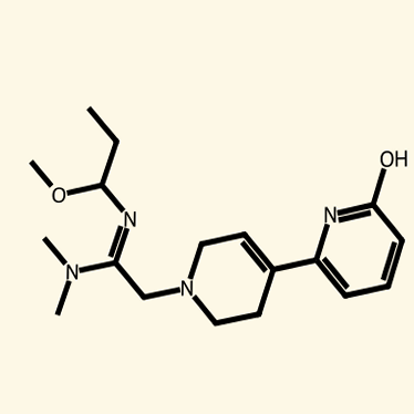 CCC(N=C(CN1CC=C(c2cccc(O)n2)CC1)N(C)C)OC